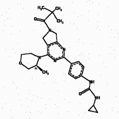 C[C@H]1COCCN1c1nc(-c2ccc(NC(=O)NC3CC3)cc2)nc2c1CN(C(=O)C(C)(C)C)C2